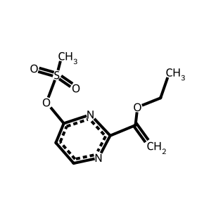 C=C(OCC)c1nccc(OS(C)(=O)=O)n1